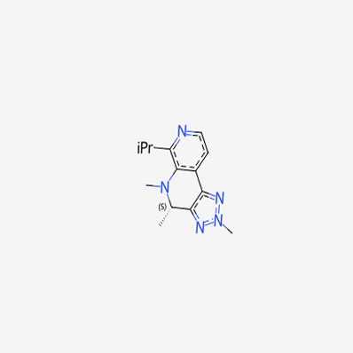 CC(C)c1nccc2c1N(C)[C@@H](C)c1nn(C)nc1-2